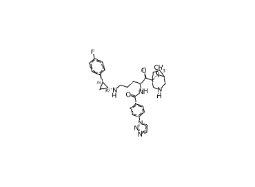 CN1C2CCC1(C(=O)C(CCCN[C@@H]1C[C@H]1c1ccc(F)cc1)NC(=O)c1ccc(-n3ccnn3)cc1)CNC2